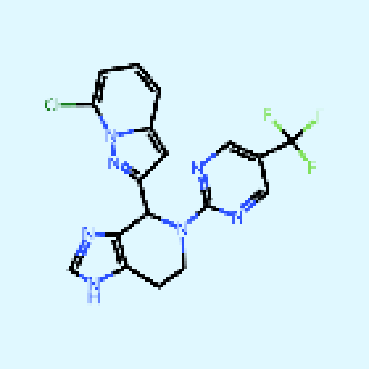 FC(F)(F)c1cnc(N2CCc3[nH]cnc3C2c2cc3cccc(Cl)n3n2)nc1